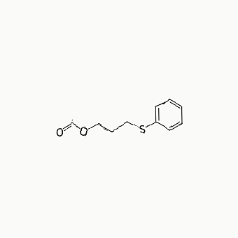 O=[C]OCCCSc1ccccc1